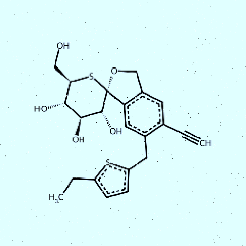 C#Cc1cc2c(cc1Cc1ccc(CC)s1)[C@]1(OC2)S[C@H](CO)[C@@H](O)[C@H](O)[C@H]1O